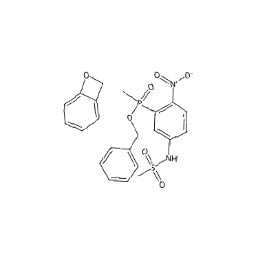 CP(=O)(OCc1ccccc1)c1cc(NS(C)(=O)=O)ccc1[N+](=O)[O-].c1ccc2c(c1)CO2